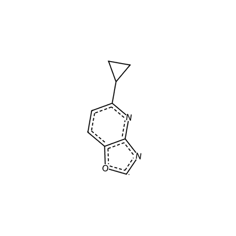 [c]1nc2nc(C3CC3)ccc2o1